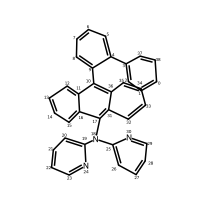 c1ccc(-c2ccccc2-c2c3ccccc3c(N(c3ccccn3)c3ccccn3)c3ccccc23)cc1